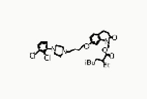 CCC(C)CC(CC)C(=O)OCN1C(=O)CCc2ccc(OCCCCN3CCN(c4cccc(Cl)c4Cl)CC3)cc21